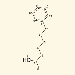 CC(O)CCCCCc1ccccc1